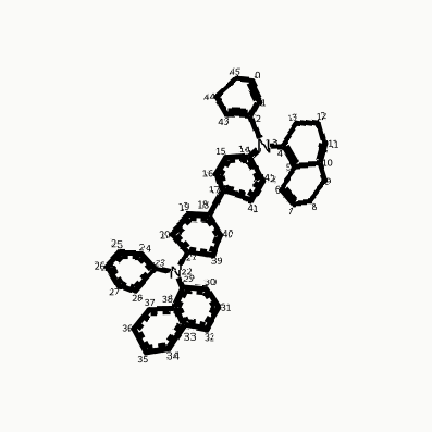 C1=CC(N(C2=C3C=CCCC3=CCC2)c2ccc(-c3ccc(N(c4ccccc4)c4cccc5ccccc45)cc3)cc2)=CCC1